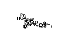 CC(C)C[C@@H](CO)NC(=O)c1c(-c2ccsc2)nc2c(NC(=O)Cc3ccc(S(C)(=O)=O)cc3)cccn12